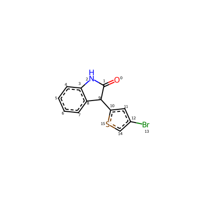 O=C1Nc2ccccc2C1c1cc(Br)cs1